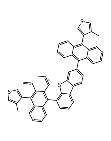 C=Cc1c(/C=C\C)c(-c2cccc3c2sc2cc(-c4c5ccccc5c(-c5cscc5C)c5ccccc45)ccc23)c2ccccc2c1-c1cscc1C